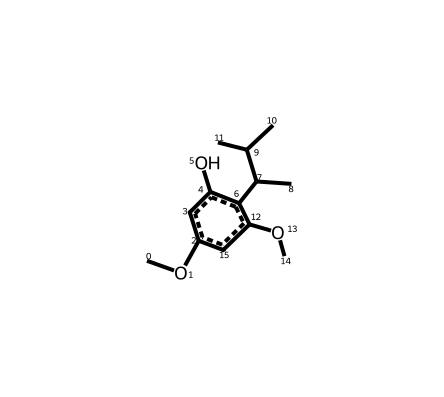 COc1cc(O)c(C(C)C(C)C)c(OC)c1